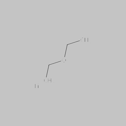 CCOCC.[Li]